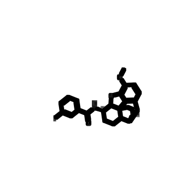 COc1ccc2c3c1OC1[C@H](NC(=O)c4cccc(I)c4)CCC4C(C2)NCCC341